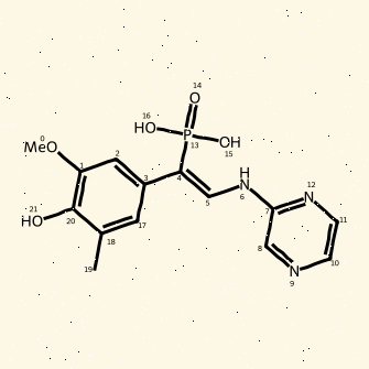 COc1cc(C(=CNc2cnccn2)P(=O)(O)O)cc(C)c1O